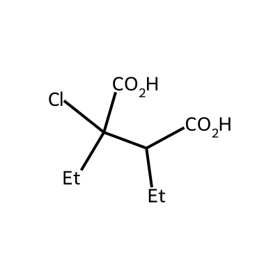 CCC(C(=O)O)C(Cl)(CC)C(=O)O